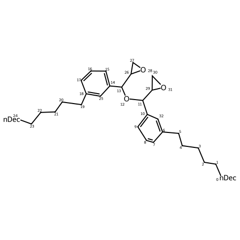 CCCCCCCCCCCCCCCc1cccc(C(OC(c2cccc(CCCCCCCCCCCCCCC)c2)C2CO2)C2CO2)c1